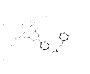 CN(C(=O)OCc1ccccc1)c1ccc(N(CCO[Si](C)(C)C(C)(C)C)CCO[Si](C)(C)C(C)(C)C)cc1